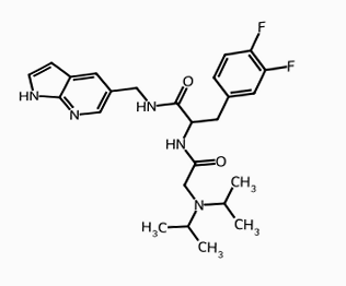 CC(C)N(CC(=O)NC(Cc1ccc(F)c(F)c1)C(=O)NCc1cnc2[nH]ccc2c1)C(C)C